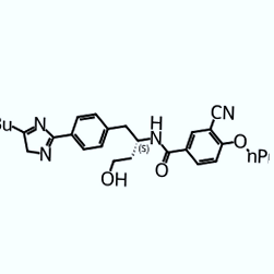 CCCOc1ccc(C(=O)N[C@H](CCO)Cc2ccc(C3=NCC(C(C)(C)C)=N3)cc2)cc1C#N